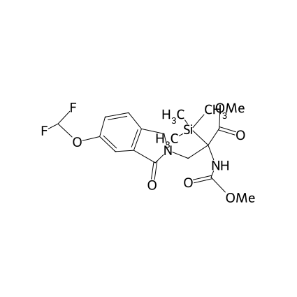 COC(=O)NC(CN1Cc2ccc(OC(F)F)cc2C1=O)(C(=O)OC)[Si](C)(C)C